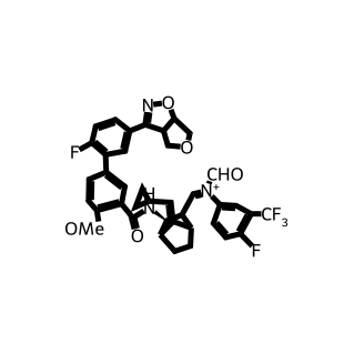 COc1ccc(-c2cc(C3=NOC4COCC34)ccc2F)cc1C(=O)N[C@@H]1C2CCC(/C2=C/C2CC2)C1/C=[N+](/C=O)c1ccc(F)c(C(F)(F)F)c1